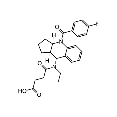 CCN(C(=O)CCC(=O)O)[C@H]1c2ccccc2N(C(=O)c2ccc(F)cc2)[C@@H]2CCC[C@@H]21